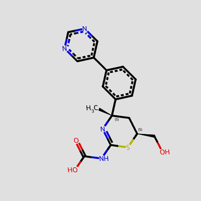 C[C@@]1(c2cccc(-c3cncnc3)c2)C[C@@H](CO)SC(NC(=O)O)=N1